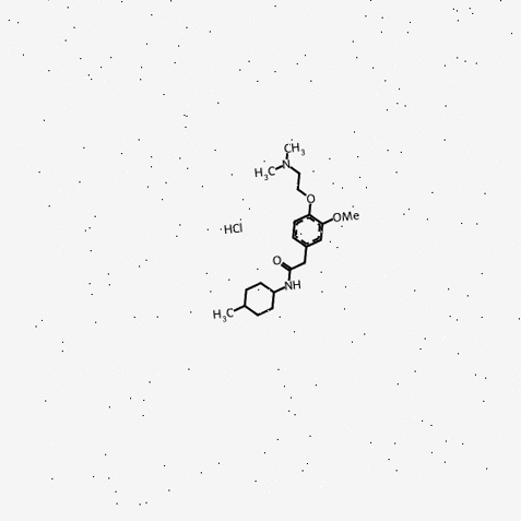 COc1cc(CC(=O)NC2CCC(C)CC2)ccc1OCCN(C)C.Cl